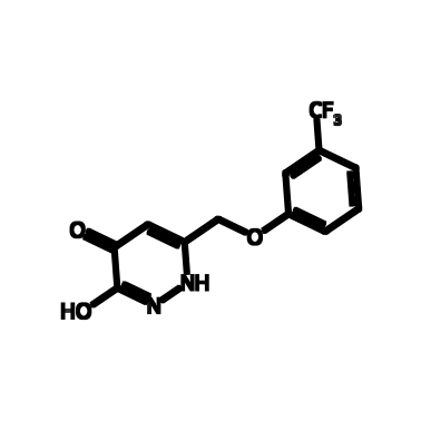 O=c1cc(COc2cccc(C(F)(F)F)c2)[nH]nc1O